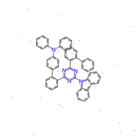 c1ccc(-c2ccccc2-c2nc(-c3ccccc3-c3ccc(N(c4ccccc4)c4ccccc4)cc3)nc(-n3c4ccccc4c4ccccc43)n2)cc1